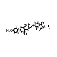 Cc1ccc(C2CC(=O)C(=CNCCN3CCN(C(=O)N(C)C)CC3)C(=O)C2)cc1